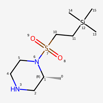 C[C@@H]1CNCCN1S(=O)(=O)CC[Si](C)(C)C